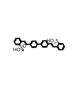 C=S(=O)(O)c1ccccc1/C=C/c1ccc(-c2ccc(/C=C/c3ccccc3S(=O)(=O)O)cc2)cc1